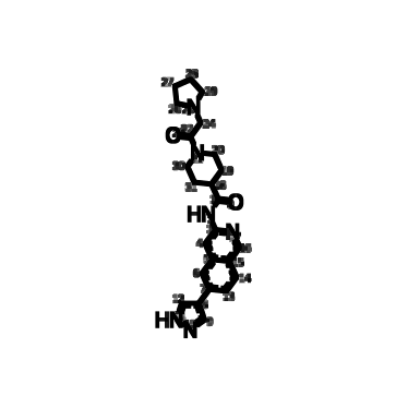 O=C(Nc1cc2cc(-c3cn[nH]c3)ccc2cn1)C1CCN(C(=O)CN2CCCC2)CC1